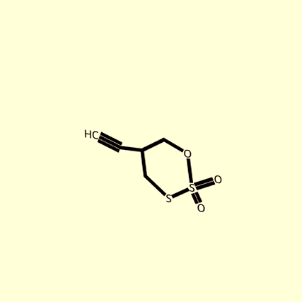 C#CC1COS(=O)(=O)SC1